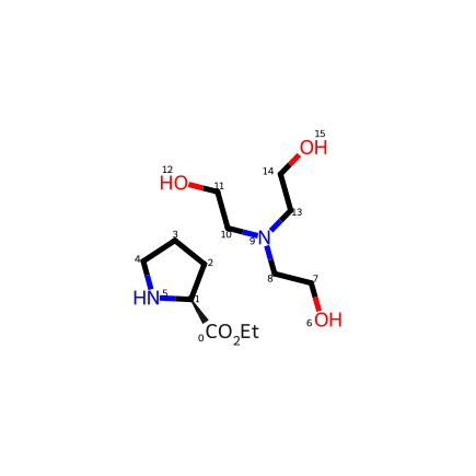 CCOC(=O)[C@@H]1CCCN1.OCCN(CCO)CCO